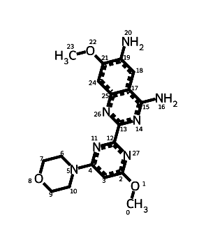 COc1cc(N2CCOCC2)nc(-c2nc(N)c3cc(N)c(OC)cc3n2)n1